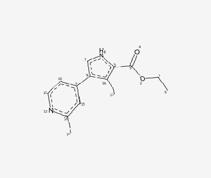 CCOC(=O)c1[nH]cc(-c2ccnc(C)c2)c1C